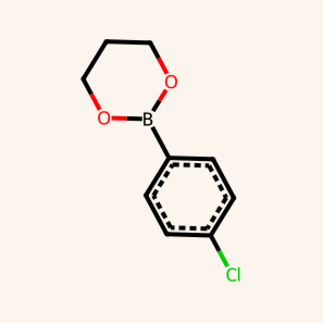 Clc1ccc(B2OCCCO2)cc1